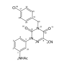 CC(=O)Nc1cccc(-n2nc(C#N)c(=O)n(Cc3ccc(Cl)cc3)c2=O)c1